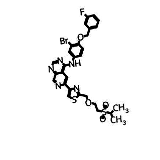 CC(C)S(=O)(=O)CCOCc1nc(-c2cc3c(Nc4ccc(OCc5cccc(F)c5)c(Br)c4)ncnc3cn2)cs1